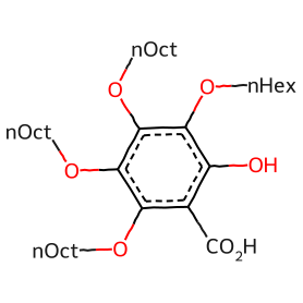 CCCCCCCCOc1c(OCCCCCC)c(O)c(C(=O)O)c(OCCCCCCCC)c1OCCCCCCCC